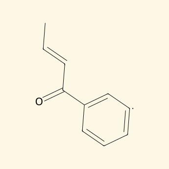 C/C=C/C(=O)c1c[c]ccc1